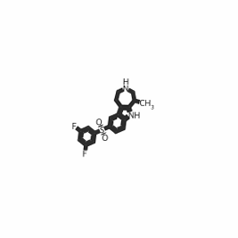 CC1CNCCc2c1[nH]c1ccc(S(=O)(=O)c3cc(F)cc(F)c3)cc21